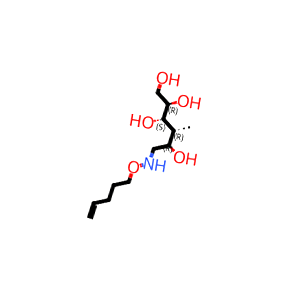 C=CCCCONC[C@H](O)[C@@H](C)[C@H](O)[C@H](O)CO